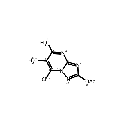 CC(=O)Oc1nc2nc(C)c(C)c(Cl)n2n1